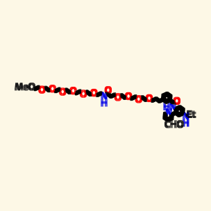 CCNc1ccc(NC(=O)c2cccc(CCCOCCOCCOCCOCCC(=O)NCCOCCOCCOCCOCCOCCOCCOC)c2)c(-c2cc(C=O)ccn2)c1